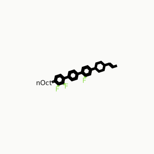 C/C=C/C1CCC(c2ccc(-c3ccc(-c4ccc(CCCCCCCC)c(F)c4F)cc3)c(F)c2)CC1